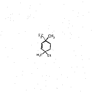 CCC1(C)C=CC(C)(C(F)(F)F)CC1